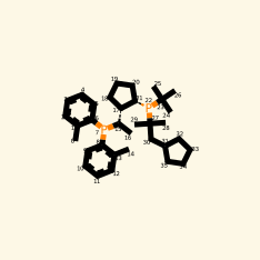 Cc1ccccc1P(c1ccccc1C)C(C)[C@@H]1CCC[C@@H]1P(C(C)(C)C)C(C)(C)CC1CCCC1